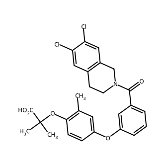 Cc1cc(Oc2cccc(C(=O)N3CCc4cc(Cl)c(Cl)cc4C3)c2)ccc1OC(C)(C)C(=O)O